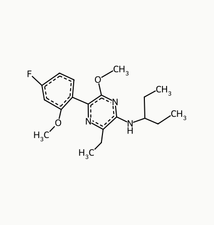 CCc1nc(-c2ccc(F)cc2OC)c(OC)nc1NC(CC)CC